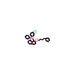 [Cl-].c1ccc(CCCCOc2ccccc2C[P+](c2ccccc2)(c2ccccc2)c2ccccc2)cc1